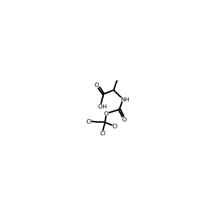 CC(NC(=O)OC(Cl)(Cl)Cl)C(=O)O